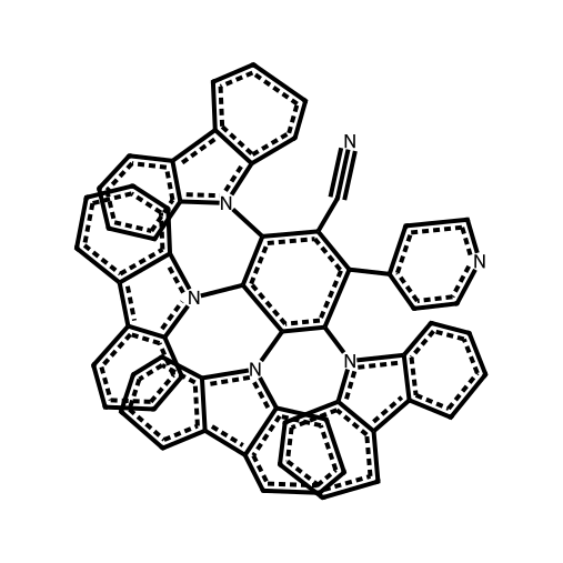 N#Cc1c(-c2ccncc2)c(-n2c3ccccc3c3ccccc32)c(-n2c3ccccc3c3ccccc32)c(-n2c3ccccc3c3ccccc32)c1-n1c2ccccc2c2ccccc21